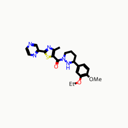 CCOc1cc(C2CCCN(C(=O)c3sc(-c4cnccn4)nc3C)N2)ccc1OC